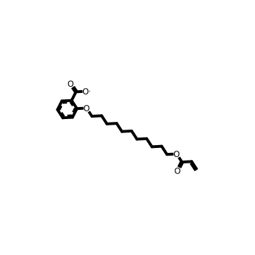 C=CC(=O)OCCCCCCCCCCCOc1ccccc1C([O])=O